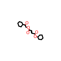 O=C(/C=C/C(=O)OC1CCCCC1)OCC(=O)C1CCCCC1